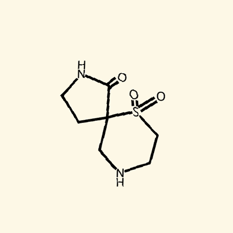 O=C1NCCC12CNCCS2(=O)=O